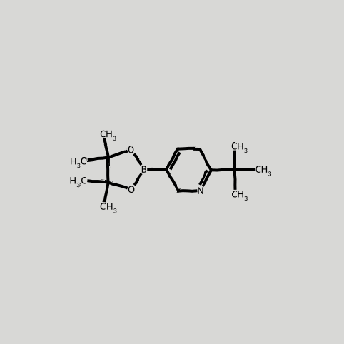 CC(C)(C)C1=NCC(B2OC(C)(C)C(C)(C)O2)=CC1